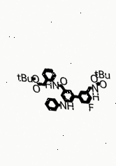 CC(C)(C)OC(=O)Cc1ccccc1NC(=O)c1cc(Nc2ccccc2)cc(-c2cc(F)cc(CNC(=O)OC(C)(C)C)c2)c1